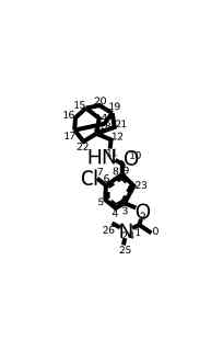 CC(Oc1ccc(Cl)c(C(=O)NCC23CC4CC(CC(C4)C2)C3)c1)N(C)C